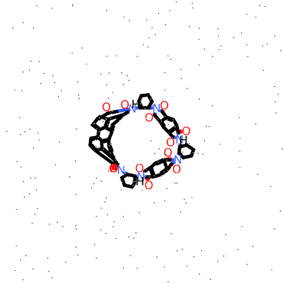 O=C1c2ccc3c4ccc5c6c7ccc(c8ccc(c2c38)C(=O)N1C1CCCC[C@H]1n1c(=O)c2cc3c(=O)n(c(=O)c3cc2c1=O)C1CCCC[C@H]1n1c(=O)c2cc3c(=O)n(c(=O)c3cc2c1=O)C1CCCC[C@H]1N(C5=O)C7=O)c64